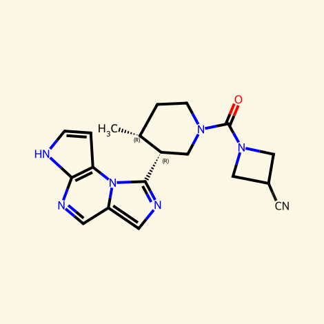 C[C@@H]1CCN(C(=O)N2CC(C#N)C2)C[C@@H]1c1ncc2cnc3[nH]ccc3n12